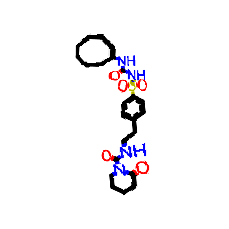 O=C(NC1CCCCCCC1)NS(=O)(=O)c1ccc(CCNC(=O)N2CCCCC2=O)cc1